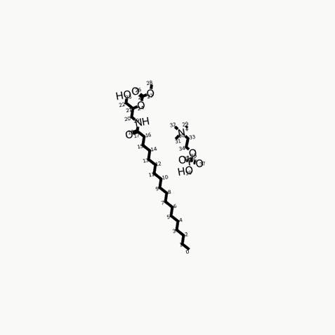 CCCCCCCCCCCCCCCCCC(=O)NCC(CO)OC(=O)OC.C[N+](C)(C)CCOP(=O)([O-])O